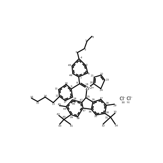 CCCCc1ccc([C](c2ccc(CCCC)cc2)=[Zr+2]([C]2=CC=CC2)[CH]2c3cc(C)c(C(C)(C)C)cc3-c3cc(C(C)(C)C)c(C)cc32)cc1.[Cl-].[Cl-]